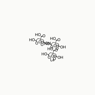 O=C(O)CC(O)(CC(=O)O)C(=O)O.O=C(O)CC(O)(CC(=O)O)C(=O)O.O=C(O)CC(O)(CC(=O)O)C(=O)O.[La]